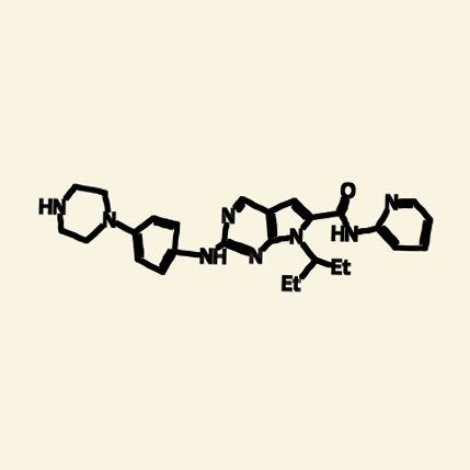 CCC(CC)n1c(C(=O)Nc2ccccn2)cc2cnc(Nc3ccc(N4CCNCC4)cc3)nc21